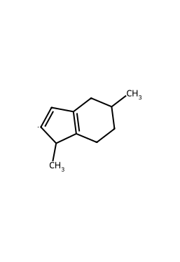 CC1CCC2=C(C=[C]C2C)C1